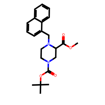 COC(=O)C1CN(C(=O)OC(C)(C)C)CCN1Cc1cccc2ccccc12